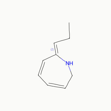 CC/C=C1/C=CC=CCN1